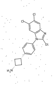 CCc1nc2cc(Cl)c(Cl)cc2n1-c1ccc([C@H]2C[C@@H](N)C2)cc1